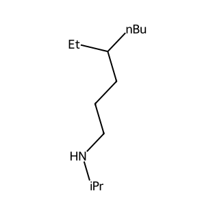 CCCCC(CC)CCCNC(C)C